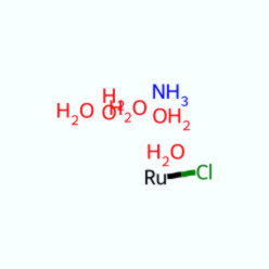 N.O.O.O.O.O.[Cl][Ru]